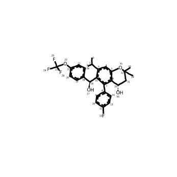 CC(C)c1cc2c(c(-c3ccc(F)cc3)c1[C@@H](O)c1ccc(OC(F)(F)F)cc1)[C@@H](O)CC(C)(C)O2